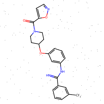 N=C(Nc1cccc(OC2CCN(C(=O)c3ccno3)CC2)c1)c1cccc(C(F)(F)F)c1